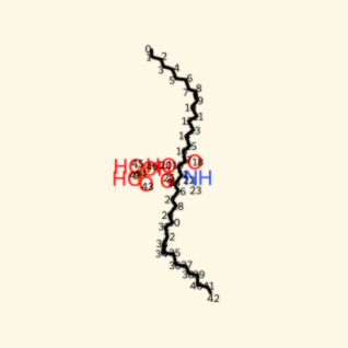 CCCCCCCC/C=C\CCCCCCCC(=O)C(O)C(NC)C(=O)CCCCCCC/C=C\CCCCCCCC.O=P(O)(O)O